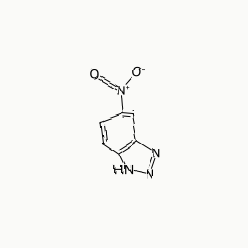 O=[N+]([O-])c1[c]c2nn[nH]c2cc1